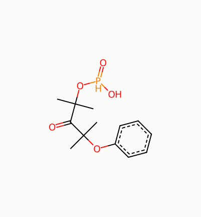 CC(C)(Oc1ccccc1)C(=O)C(C)(C)O[PH](=O)O